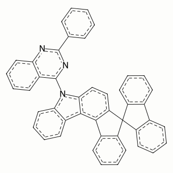 c1ccc(-c2nc(-n3c4ccccc4c4c5c(ccc43)C3(c4ccccc4-c4ccccc43)c3ccccc3-5)c3ccccc3n2)cc1